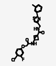 Cc1cccc(-c2nc(CNC(=O)C34CC(NC(=O)COc5ccc(Cl)c(F)c5)(C3)C4)cs2)c1